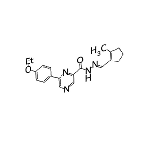 CCOc1ccc(-c2cncc(C(=O)N/N=C/C3=C(C)CCC3)n2)cc1